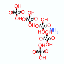 N.[O]=[Mo](=[O])([OH])[OH].[O]=[Mo](=[O])([OH])[OH].[O]=[Mo](=[O])([OH])[OH].[O]=[Mo](=[O])([OH])[OH].[O]=[Mo](=[O])([OH])[OH]